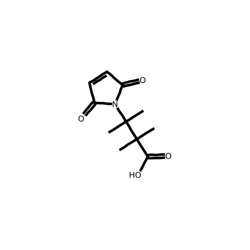 CC(C)(C(=O)O)C(C)(C)N1C(=O)C=CC1=O